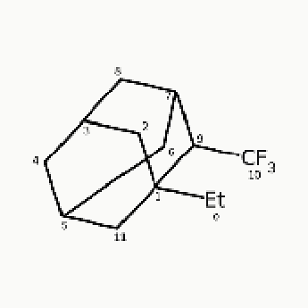 CCC12CC3CC(CC(C3)C1C(F)(F)F)C2